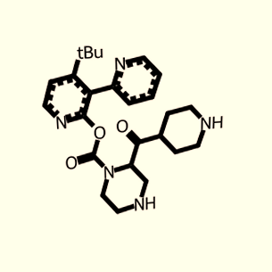 CC(C)(C)c1ccnc(OC(=O)N2CCNCC2C(=O)C2CCNCC2)c1-c1ccccn1